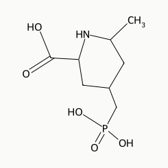 CC1CC(CP(=O)(O)O)CC(C(=O)O)N1